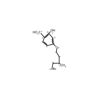 CC(CCOc1ccc(C(=O)O)c(O)c1)CC(C)(C)C